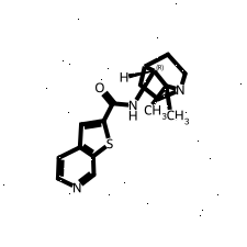 CC1(C)[C@H](NC(=O)c2cc3ccncc3s2)C2CCN1CC2